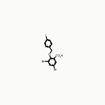 O=C(O)c1cc(Br)cc(Br)c1OCc1ccc(I)cc1